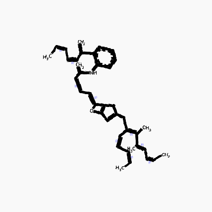 C=C(/C=C\C=C1/OC2=C1CC(CC(/C=C\C=C/C)=C(C)/C(C)=C/C=C\C)=C2)Nc1ccccc1C(=C)/C=C\C=C/C